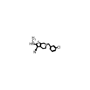 CNc1sc2c(c1C#N)CCN(Cc1cccc(Cl)c1)C2